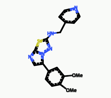 COc1ccc(-c2cnc3sc(NCc4ccncc4)nn23)cc1OC